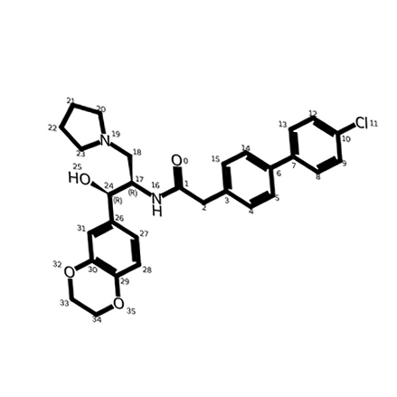 O=C(Cc1ccc(-c2ccc(Cl)cc2)cc1)N[C@H](CN1CCCC1)[C@H](O)c1ccc2c(c1)OCCO2